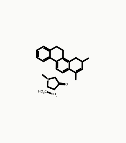 CC1=CC(C)Cc2c1ccc1c2CCc2ccccc2-1.CN1CCC(=O)C1.NC(=O)O